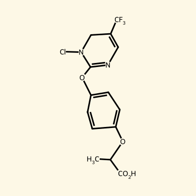 CC(Oc1ccc(OC2=NC=C(C(F)(F)F)CN2Cl)cc1)C(=O)O